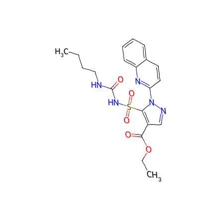 CCCCNC(=O)NS(=O)(=O)c1c(C(=O)OCC)cnn1-c1ccc2ccccc2n1